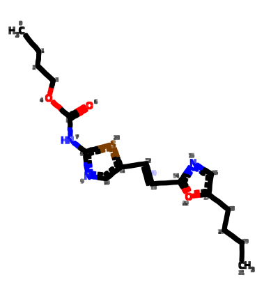 CCCCOC(=O)Nc1ncc(/C=C/c2ncc(CCCC)o2)s1